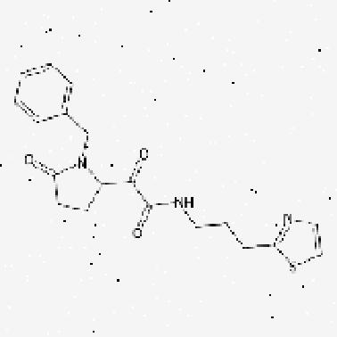 O=C(NCCCc1nccs1)C(=O)C1CCC(=O)N1Cc1ccccc1